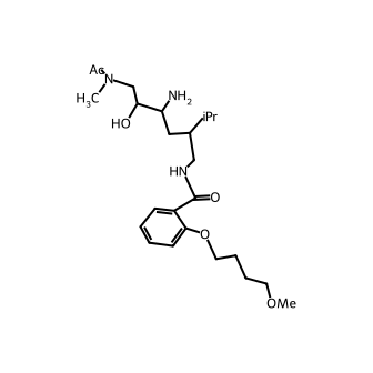 COCCCCOc1ccccc1C(=O)NCC(CC(N)C(O)CN(C)C(C)=O)C(C)C